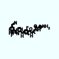 Cc1cc(Nc2nccn3c(C4=CC(CC#N)CN=C4C(F)(F)F)cnc23)cc(F)c1C(=O)N[C@H](C)CNC(=O)[C@H]1C[C@@H](N)C1